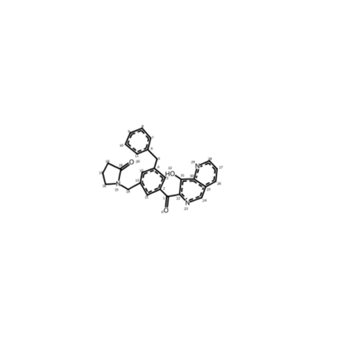 O=C(c1cc(Cc2ccccc2)cc(CN2CCCC2=O)c1)c1ncc2cccnc2c1O